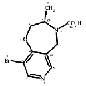 C[C@@H]1COc2c(Br)cncc2CN1C(=O)O